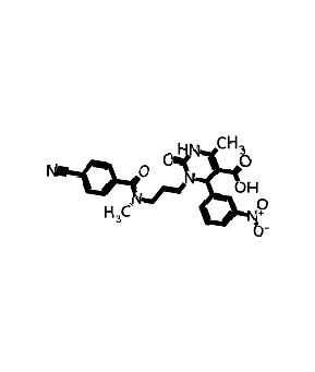 CC1=C(C(=O)O)C(c2cccc([N+](=O)[O-])c2)N(CCCN(C)C(=O)c2ccc(C#N)cc2)C(=O)N1